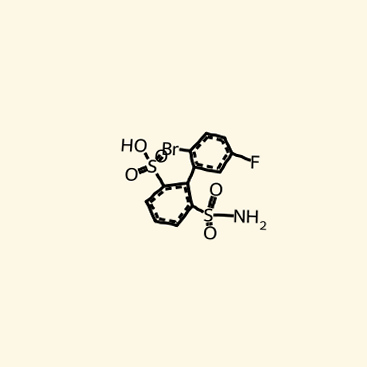 NS(=O)(=O)c1cccc(S(=O)(=O)O)c1-c1cc(F)ccc1Br